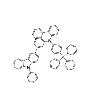 c1ccc(-c2ccccc2N(c2ccc(C(c3ccccc3)(c3ccccc3)c3ccccc3)cc2)c2cccc(-c3ccc4c(c3)c3ccccc3n4-c3ccccc3)c2)cc1